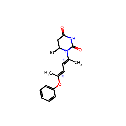 CCC1CC(=O)NC(=O)N1/C(C)=C/C=C(\C)Oc1ccccc1